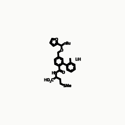 CCCCC(OCc1ccc(C(=O)NC(CCSC)C(=O)O)c(-c2ccccc2C)c1)c1ccco1.[LiH]